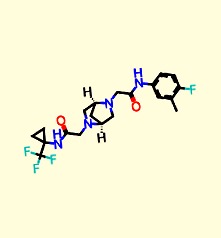 Cc1cc(NC(=O)CN2C[C@@H]3C[C@H]2CN3CC(=O)NC2(C(F)(F)F)CC2)ccc1F